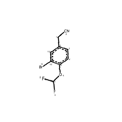 N#CCc1ccc(OC(F)F)c(Br)c1